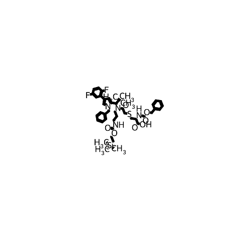 CC(C)(C)C(c1cc(-c2cc(F)ccc2F)cn1Cc1ccccc1)N(CCCNC(=O)OCC[Si](C)(C)C)C(=O)CSCC(NC(=O)OCc1ccccc1)C(=O)O